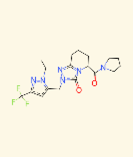 CCn1nc(C(F)(F)F)cc1Cn1nc2n(c1=O)C(C(=O)N1CCCC1)CCC2